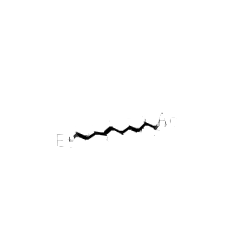 CC/C=C/C/C=C/C/C=C/CCC(C)=O